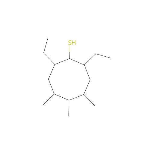 CCC1CC(C)C(C)C(C)CC(CC)C1S